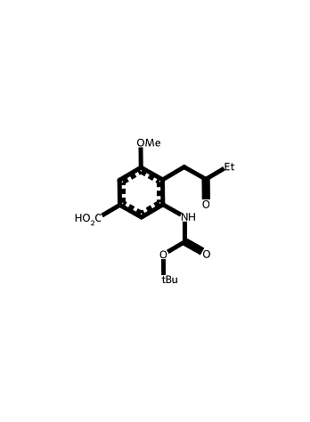 CCC(=O)Cc1c(NC(=O)OC(C)(C)C)cc(C(=O)O)cc1OC